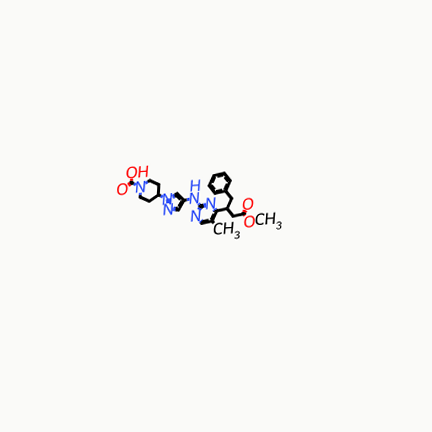 COC(=O)CC(Cc1ccccc1)c1nc(Nc2cnn(C3CCN(C(=O)O)CC3)c2)ncc1C